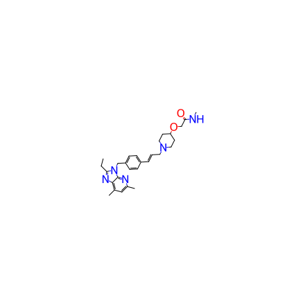 CCc1nc2c(C)cc(C)nc2n1Cc1ccc(/C=C/CN2CCC(OCC(=O)NC)CC2)cc1